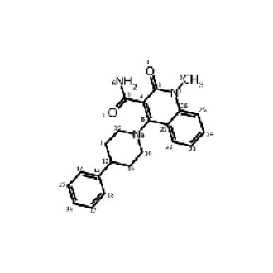 Cn1c(=O)c(C(N)=O)c(N2CCC(c3ccccc3)CC2)c2ccccc21